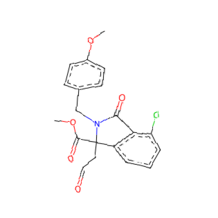 COC(=O)C1(CC=O)c2cccc(Cl)c2C(=O)N1Cc1ccc(OC)cc1